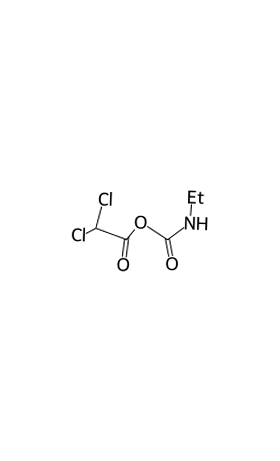 CCNC(=O)OC(=O)C(Cl)Cl